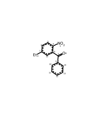 CCc1ccc([N+](=O)[O-])c(C(=O)c2ccccc2)c1